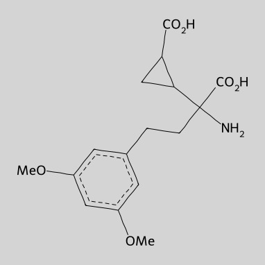 COc1cc(CCC(N)(C(=O)O)C2CC2C(=O)O)cc(OC)c1